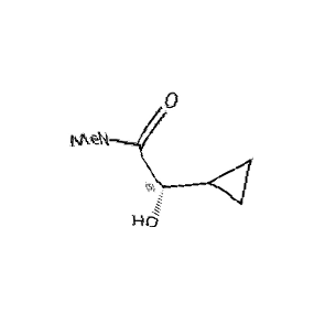 CNC(=O)[C@@H](O)C1CC1